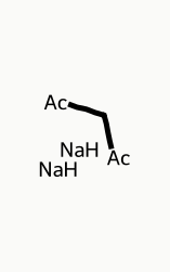 CC(=O)CC(C)=O.[NaH].[NaH]